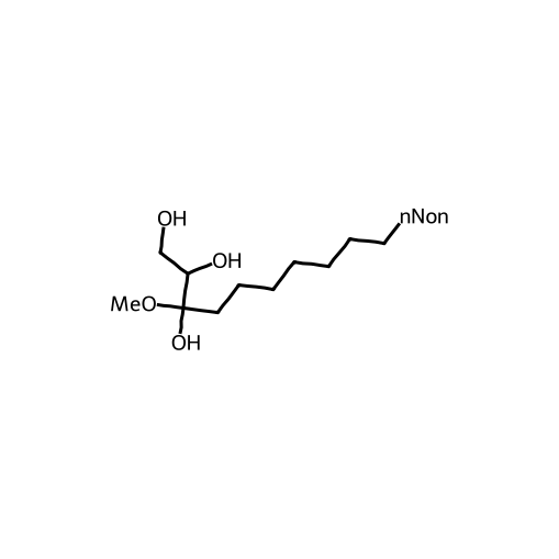 CCCCCCCCCCCCCCCCC(O)(OC)C(O)CO